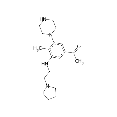 CC(=O)c1cc(NCCN2CCCC2)c(C)c(N2CCNCC2)c1